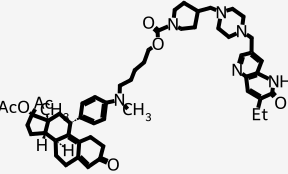 CCc1cc2ncc(CN3CCN(CC4CCN(C(=O)OCCCCCN(C)c5ccc([C@H]6C[C@@]7(C)[C@@H](CC[C@]7(OC(C)=O)C(C)=O)[C@@H]7CCC8=CC(=O)CCC8=C76)cc5)CC4)CC3)cc2[nH]c1=O